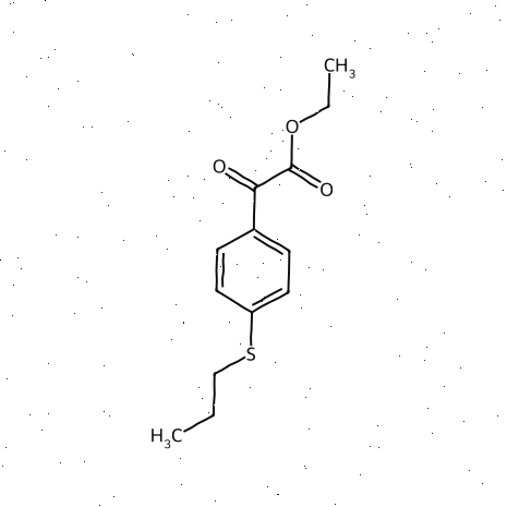 CCCSc1ccc(C(=O)C(=O)OCC)cc1